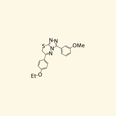 CCOc1ccc(C2=Nn3c(nnc3-c3cccc(OC)c3)SC2)cc1